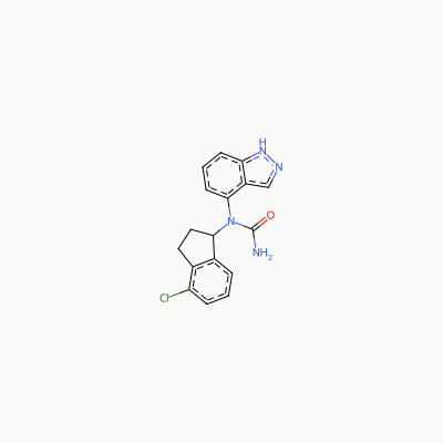 NC(=O)N(c1cccc2[nH]ncc12)C1CCc2c(Cl)cccc21